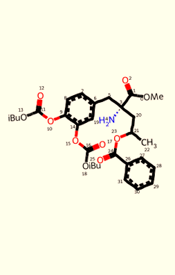 COC(=O)[C@](N)(Cc1ccc(OC(=O)OCC(C)C)c(OC(=O)OCC(C)C)c1)CC(C)OC(=O)c1ccccc1